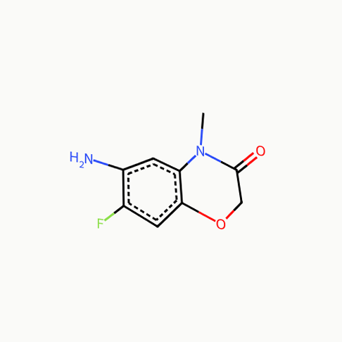 CN1C(=O)COc2cc(F)c(N)cc21